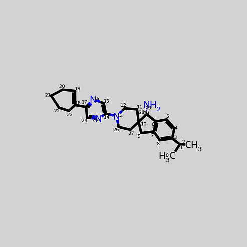 CC(C)c1ccc2c(c1)CC1(CCN(c3cnc(C4=CCCCC4)cn3)CC1)[C@@H]2N